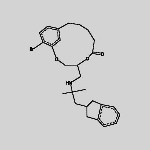 CC(C)(CC1Cc2ccccc2C1)NCC1COc2cc(ccc2Br)CCCCC(=O)O1